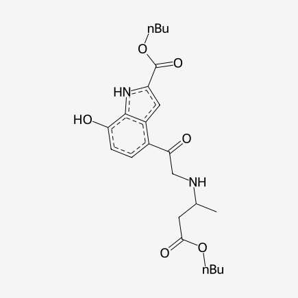 CCCCOC(=O)CC(C)NCC(=O)c1ccc(O)c2[nH]c(C(=O)OCCCC)cc12